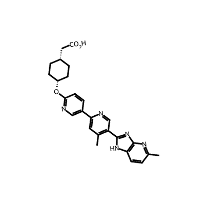 Cc1ccc2[nH]c(-c3cnc(-c4ccc(O[C@H]5CC[C@@H](CC(=O)O)CC5)nc4)cc3C)nc2n1